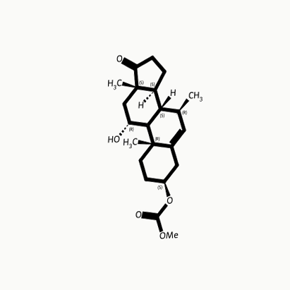 COC(=O)O[C@H]1CC[C@@]2(C)C(=C[C@H](C)[C@@H]3C2[C@H](O)C[C@]2(C)C(=O)CC[C@@H]32)C1